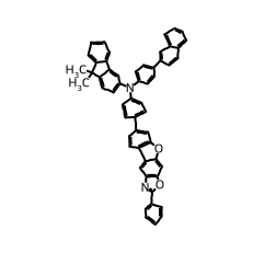 CC1(C)c2ccccc2-c2cc(N(c3ccc(-c4ccc5ccccc5c4)cc3)c3ccc(-c4ccc5c(c4)oc4cc6oc(-c7ccccc7)nc6cc45)cc3)ccc21